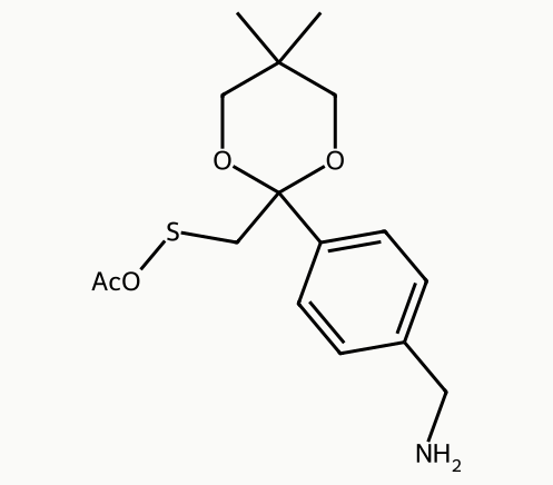 CC(=O)OSCC1(c2ccc(CN)cc2)OCC(C)(C)CO1